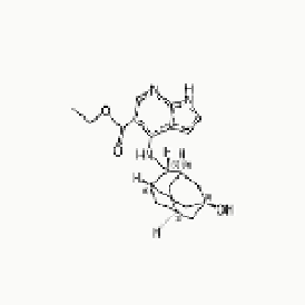 CCOC(=O)c1cnc2[nH]ccc2c1N[C@@H]1[C@@H]2C[C@@H]3C[C@H]1C[C@@](O)(C3)C2